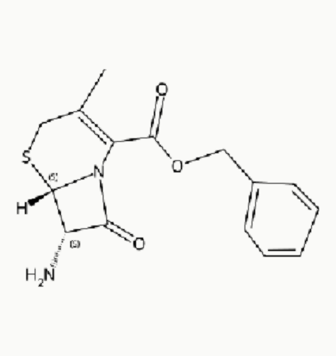 CC1=C(C(=O)OCc2ccccc2)N2C(=O)[C@H](N)[C@@H]2SC1